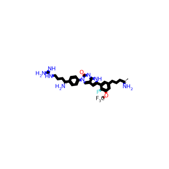 C[C@H](N)CCCc1cc(OC(F)(F)F)c(F)c(-c2cc3cn(-c4ccc([C@H](N)CCCNC(=N)N)cc4)c(=O)nc3[nH]2)c1